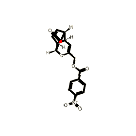 O=C(OCC1=C[C@H]2[C@@H]3C=C[C@H]2C(=O)O[C@@H]3O1)c1ccc([N+](=O)[O-])cc1